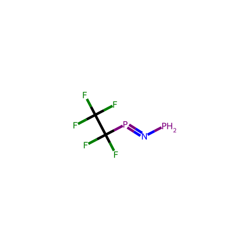 FC(F)(F)C(F)(F)P=NP